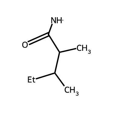 CCC(C)C(C)C([NH])=O